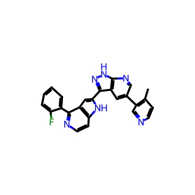 Cc1ccncc1-c1cnc2[nH]nc(-c3cc4c(-c5ccccc5F)nccc4[nH]3)c2c1